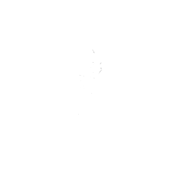 C=CCN1C(=O)C=C[C@@]2(C)C1CC[C@@H]1[C@H]2CC[C@]2(C)C(CCCCC)CC[C@@H]12